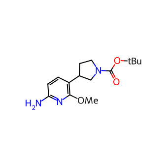 COc1nc(N)ccc1C1CCN(C(=O)OC(C)(C)C)C1